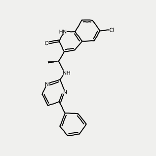 C[C@H](Nc1nccc(-c2ccccc2)n1)c1cc2cc(Cl)ccc2[nH]c1=O